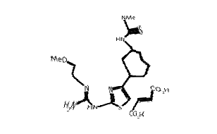 CNC(=S)NC1CCCC(c2csc(NC(N)=NCCOC)n2)C1.O=C(O)C=CC(=O)O